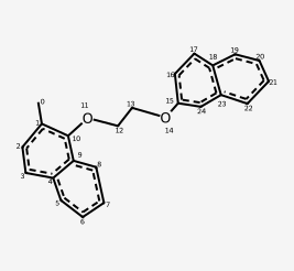 Cc1ccc2ccccc2c1OCCOc1ccc2ccccc2c1